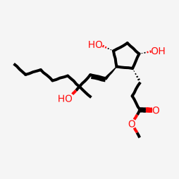 CCCCCC(C)(O)/C=C/[C@@H]1[C@@H](CCC(=O)OC)[C@@H](O)C[C@H]1O